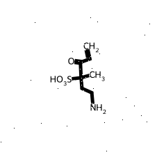 C=CC(=O)C(C)(CCN)S(=O)(=O)O